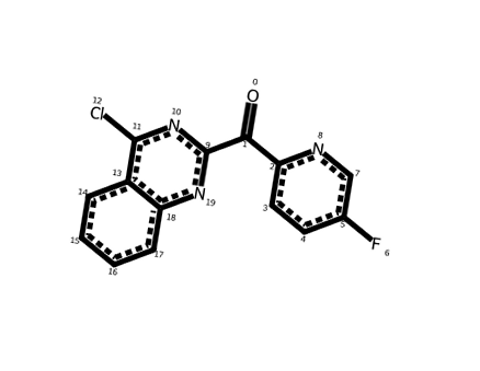 O=C(c1ccc(F)cn1)c1nc(Cl)c2ccccc2n1